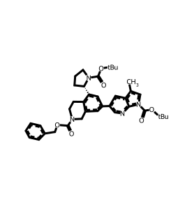 Cc1cn(C(=O)OC(C)(C)C)c2ncc(-c3cc4c(c([C@@H]5CCCN5C(=O)OC(C)(C)C)c3)CCN(C(=O)OCc3ccccc3)C4)cc12